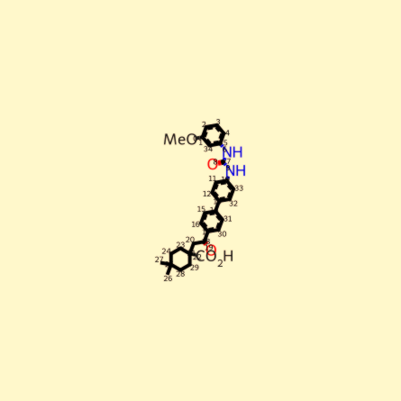 COc1cccc(NC(=O)Nc2ccc(-c3ccc(C(=O)CC4(C(=O)O)CCC(C)(C)CC4)cc3)cc2)c1